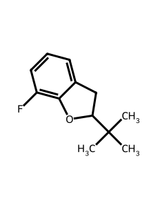 CC(C)(C)C1Cc2cccc(F)c2O1